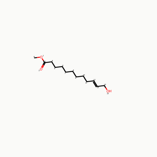 COC(=O)CCCCCCCCC=CCO